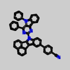 N#Cc1ccc(-c2ccc3c(c2)c2c(n3-c3nc(-c4ccccc4)c4c(n3)c3ccccc3n4-c3ccccc3)-c3cccc4cccc-2c34)cc1